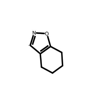 [c]1noc2c1CCCC2